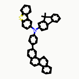 CC1(C)c2ccccc2-c2ccc(N(c3ccc(-c4ccc5ccc6c7ccccc7ccc6c5c4)cc3)c3ccc4sc5ccccc5c4c3)cc21